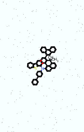 CC1(C)c2c(-c3cc4ccccc4c4ccccc34)cccc2-c2c(N(c3ccc(-c4ccccc4)cc3)c3cccc4c3sc3ccccc34)ccc3cccc1c23